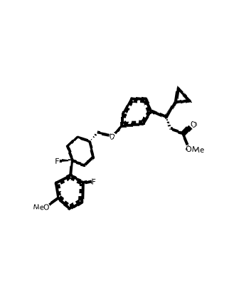 COC(=O)C[C@H](c1cccc(OC[C@H]2CC[C@@](F)(c3cc(OC)ccc3F)CC2)c1)C1CC1